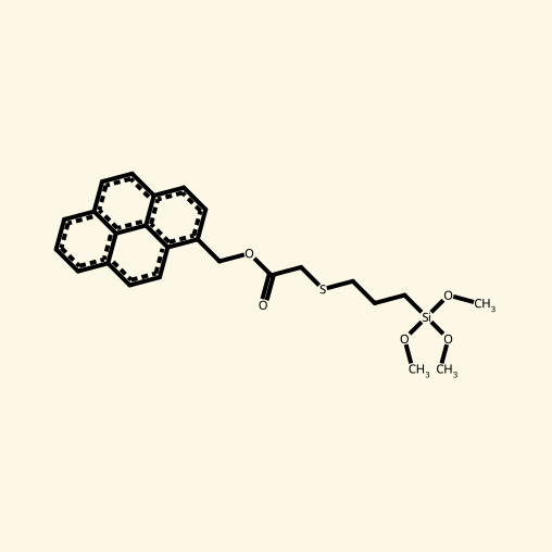 CO[Si](CCCSCC(=O)OCc1ccc2ccc3cccc4ccc1c2c34)(OC)OC